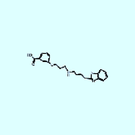 O=C(O)c1cccc(OCCCNCCCCc2nc3ccccc3o2)c1